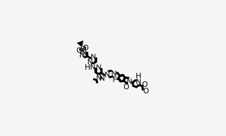 CC(C)n1nc(N2CCN(Cc3cc4c(cc3F)C(=O)N(C3CCC(C(=O)C=O)NC3)C4)CC2)c2cnc(Nc3ccnc(-c4cnn(S(=O)(=O)C5CC5)c4)n3)cc21